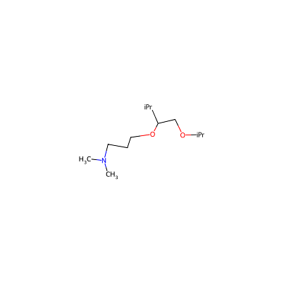 CC(C)OCC(OCCCN(C)C)C(C)C